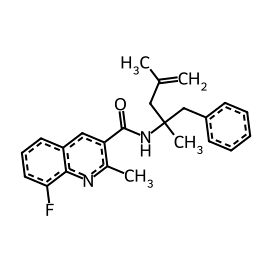 C=C(C)CC(C)(Cc1ccccc1)NC(=O)c1cc2cccc(F)c2nc1C